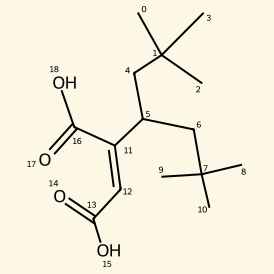 CC(C)(C)CC(CC(C)(C)C)C(=CC(=O)O)C(=O)O